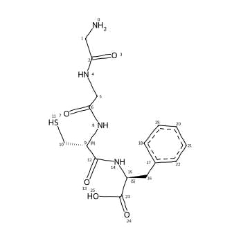 NCC(=O)NCC(=O)N[C@@H](CS)C(=O)N[C@@H](Cc1ccccc1)C(=O)O